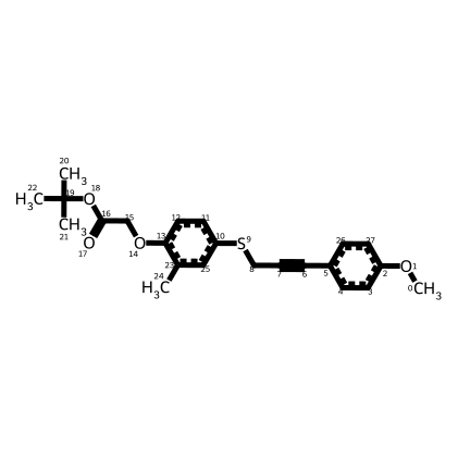 COc1ccc(C#CCSc2ccc(OCC(=O)OC(C)(C)C)c(C)c2)cc1